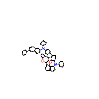 c1ccc(-c2ccc3cc(N(c4ccccc4)c4ccc5c(c4)C4(c6ccccc6Oc6c4oc4ccccc64)c4cc(N(c6ccccc6)c6ccccc6)ccc4-5)ccc3c2)cc1